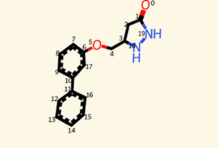 O=C1CC(COc2cccc(-c3ccccc3)c2)NN1